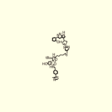 Cc1ncsc1-c1ccc(CNC(=O)[C@@H]2C[C@@H](O)CN2C(=O)C(NC(=O)CCCCCN(C)Cc2cnc(N3CCC(c4c[nH]c5nnc(-c6ccccc6O)cc45)CC3)nc2)C(C)(C)C)cc1